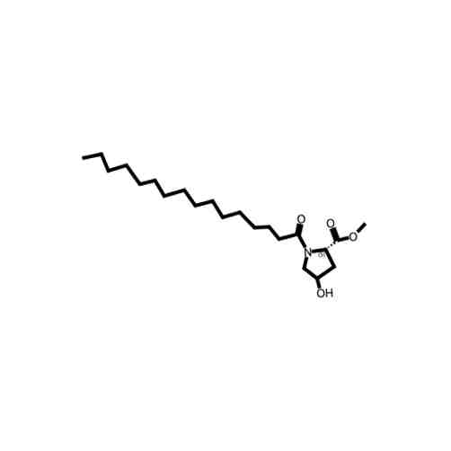 CCCCCCCCCCCCCCCC(=O)N1CC(O)C[C@H]1C(=O)OC